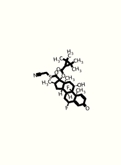 C[C@@H]1C[C@H]2[C@@H]3C[C@H](F)C4=CC(=O)C=C[C@]4(C)[C@@]3(F)[C@@H](O)C[C@]2(C)[C@@]1(OC(=O)C1C(C)(C)C1(C)C)C(=O)SCC#N